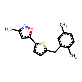 Cc1ccc(C)c(Cc2ccc(-c3cc(C)no3)s2)c1